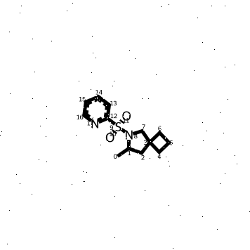 CC1CC2(CCC2)CN1S(=O)(=O)c1ccccn1